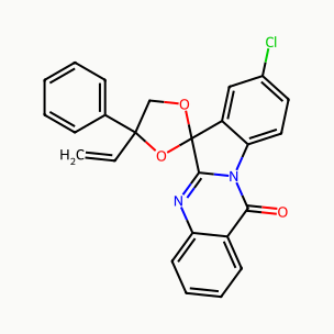 C=CC1(c2ccccc2)COC2(O1)c1cc(Cl)ccc1-n1c2nc2ccccc2c1=O